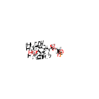 CC(C)(C)C1=CC(C=CC(=O)OCC23COP(OC2)OC3)CC(C(C)(C)C)=C1O